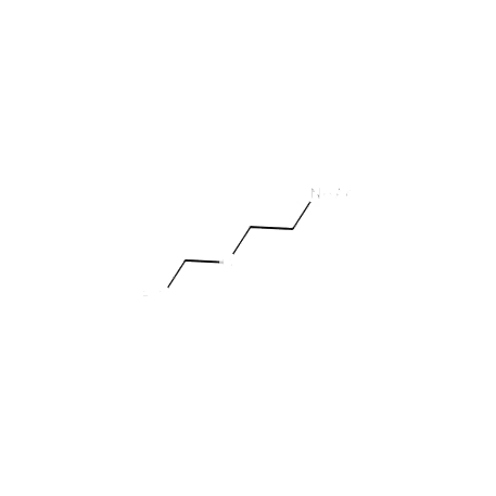 CC(=O)NCCOCC(F)(F)F